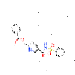 O=C(NS(=O)(=O)c1ccccc1)c1ccc(COC(=O)c2ccccc2)nc1